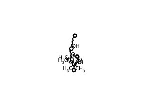 Cc1cccc(C)c1-c1cc2nc(n1)NS(=O)(=O)c1cccc(c1)C(=O)N(CCSC1CCC(O)(CCCCCc3ccccc3)CC1)[C@H](CC(C)(C)C)CO2